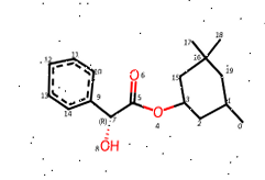 CC1CC(OC(=O)[C@H](O)c2ccccc2)CC(C)(C)C1